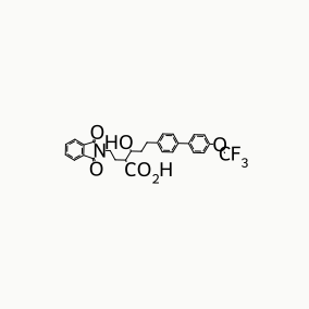 O=C(O)[C@@H](CCN1C(=O)c2ccccc2C1=O)[C@H](O)CCc1ccc(-c2ccc(OC(F)(F)F)cc2)cc1